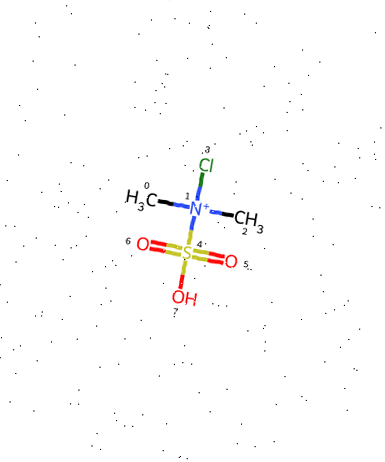 C[N+](C)(Cl)S(=O)(=O)O